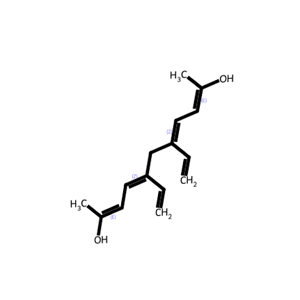 C=C/C(=C\C=C(/C)O)C/C(C=C)=C/C=C(\C)O